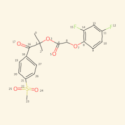 CC(C)(OC(=O)COc1ccc(F)cc1F)C(=O)c1ccc(S(C)(=O)=O)cc1